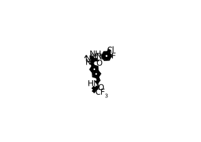 Cn1nc(C2CC3CC(CNC(=O)C(C)(C)C(F)(F)F)CC3C2)c(C(=O)Nc2ccc(F)c(Cl)c2)c1N